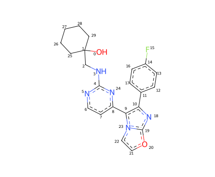 OC1(CNc2nccc(-c3c(-c4ccc(F)cc4)nc4occn34)n2)CCCCC1